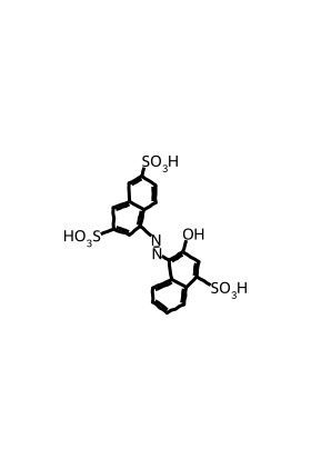 O=S(=O)(O)c1ccc2c(/N=N/c3c(O)cc(S(=O)(=O)O)c4ccccc34)cc(S(=O)(=O)O)cc2c1